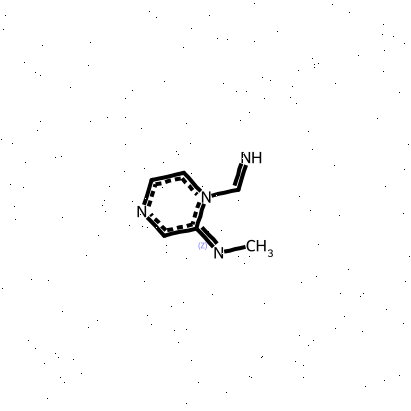 C/N=c1/cnccn1C=N